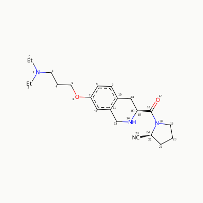 CCN(CC)CCCOc1ccc2c(c1)CN[C@H](C(=O)N1CCC[C@H]1C#N)C2